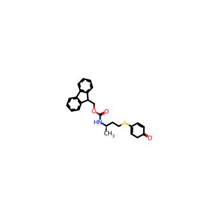 C[C@H](CCSC1=CCC(=O)C=C1)NC(=O)OCC1c2ccccc2-c2ccccc21